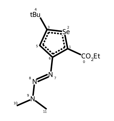 CCOC(=O)c1[se]c(C(C)(C)C)cc1N=NN(C)C